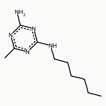 CCCCCCNc1nc(C)nc(N)n1